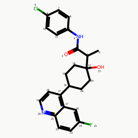 CC(C(=O)Nc1ccc(Cl)cc1)C1(O)CCC(c2ccnc3ccc(F)cc23)CC1